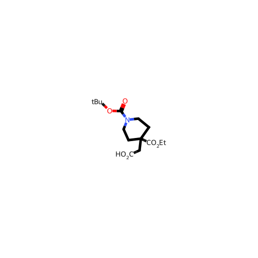 CCOC(=O)C1(CC(=O)O)CCN(C(=O)OC(C)(C)C)CC1